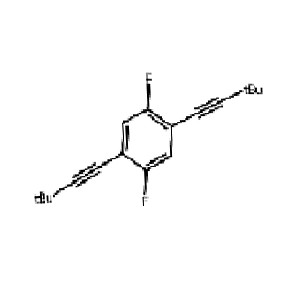 CC(C)(C)C#Cc1cc(F)c(C#CC(C)(C)C)cc1F